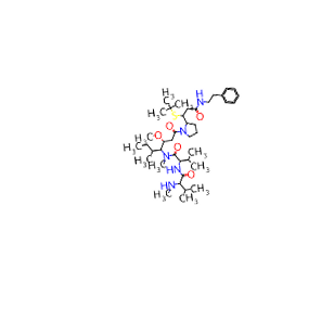 CCC(C)C(C(CC(=O)N1CCCC1C(CC(=O)NCCc1ccccc1)SC(C)(C)C)OC)N(C)C(=O)C(NC(=O)C(NC)C(C)C)C(C)C